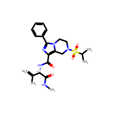 C=C(C)[C@H](NC(=O)c1nc(-c2ccccc2)n2c1CN(S(=O)(=O)C(C)C)CC2)C(=O)NC